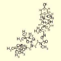 C/C(=N\OC(=O)N(C)CCN(CCO[Si](C)(C)C(C)(C)C)C(=O)OC(C)(C)C)[C@H]1CC[C@H]2[C@@H]3CCC4=CC(=O)CC[C@]4(C)[C@H]3CC[C@]12C